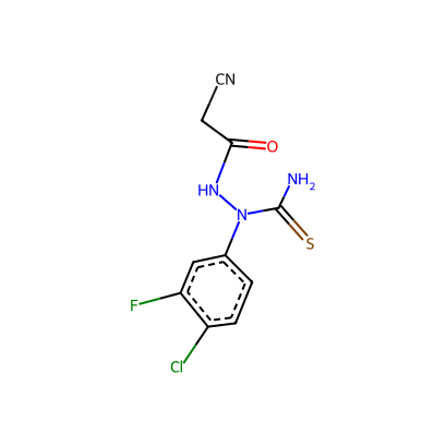 N#CCC(=O)NN(C(N)=S)c1ccc(Cl)c(F)c1